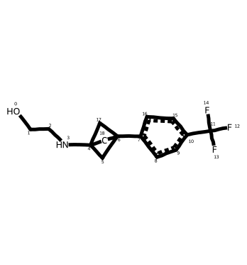 OCCNC12CC(c3ccc(C(F)(F)F)cc3)(C1)C2